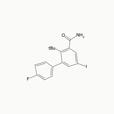 CC(C)(C)c1c(C(N)=O)cc(I)cc1-c1ccc(F)cc1